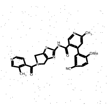 COc1ccc(C#N)cc1-c1cc(C)ncc1C(=O)Nc1nc2c(s1)CN(C(=O)c1ccncc1C)C2